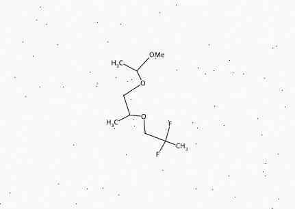 COC(C)OCC(C)OCC(C)(F)F